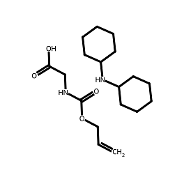 C1CCC(NC2CCCCC2)CC1.C=CCOC(=O)NCC(=O)O